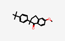 COc1ccc2c(c1)CCC(C)(c1ccc(C(C)(C)C)cc1)C2=O